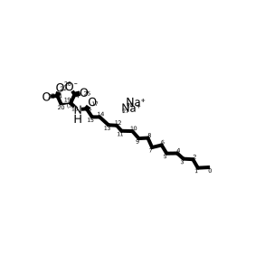 CCCCCCCCCCCCCCCCC(=O)N[C@@H](CC(=O)[O-])C(=O)[O-].[Na+].[Na+]